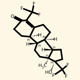 C[C@]12CC[C@H]3[C@@H](CCC4=C(C(F)(F)F)C(=O)CC[C@@H]43)[C@@H]1CC[C@@]2(O)C(F)(F)F